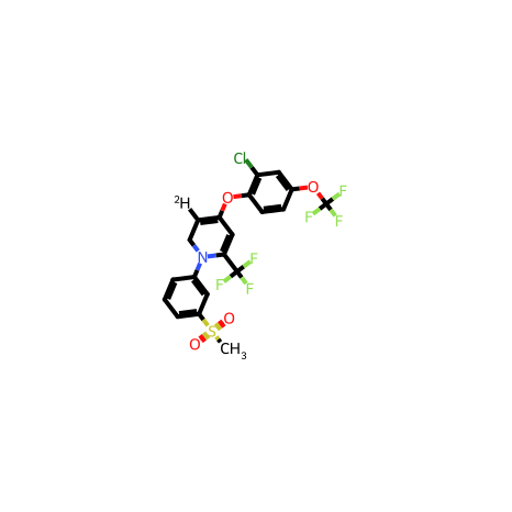 [2H]C1=C(Oc2ccc(OC(F)(F)F)cc2Cl)C=C(C(F)(F)F)N(c2cccc(S(C)(=O)=O)c2)C1